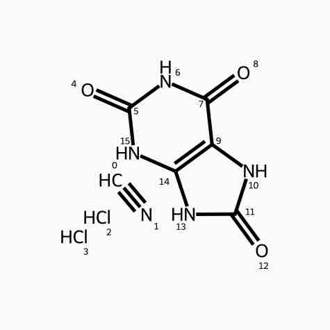 C#N.Cl.Cl.O=c1[nH]c(=O)c2[nH]c(=O)[nH]c2[nH]1